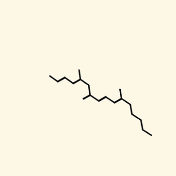 CCCCCC(C)CCCC(C)CC(C)CCCC